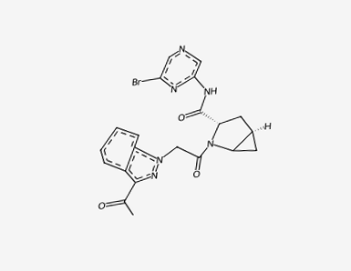 CC(=O)c1nn(CC(=O)N2C3C[C@@H]3C[C@H]2C(=O)Nc2cncc(Br)n2)c2ccccc12